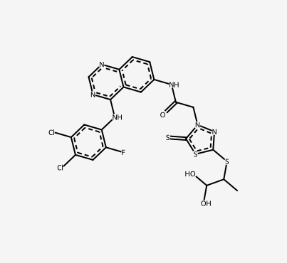 CC(Sc1nn(CC(=O)Nc2ccc3ncnc(Nc4cc(Cl)c(Cl)cc4F)c3c2)c(=S)s1)C(O)O